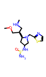 CNC/C(COC)=C1/CC(N[S+](N)[O-])CN1Cc1nccs1